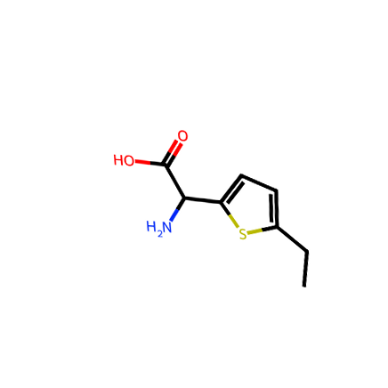 CCc1ccc(C(N)C(=O)O)s1